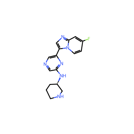 Fc1ccn2c(-c3cncc(N[C@@H]4CCCNC4)n3)cnc2c1